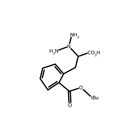 CC(C)(C)OC(=O)c1ccccc1CC(C(=O)O)N(N)N